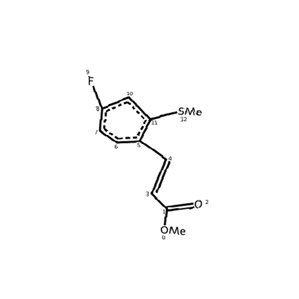 COC(=O)/C=C/c1ccc(F)cc1SC